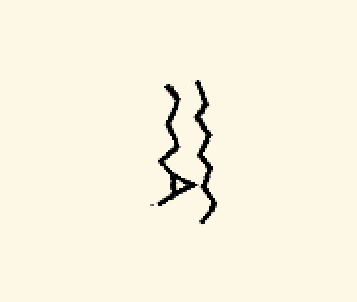 [CH2]C1CC1CCCCC.[CH2]CCCCCCCC